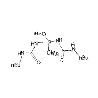 CCCCNC(=O)N[Si](NC(=O)NCCCC)(OC)OC